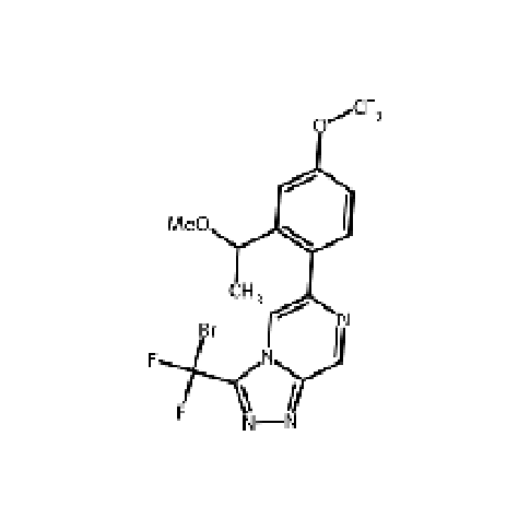 COC(C)c1cc(OC(F)(F)F)ccc1-c1cn2c(C(F)(F)Br)nnc2cn1